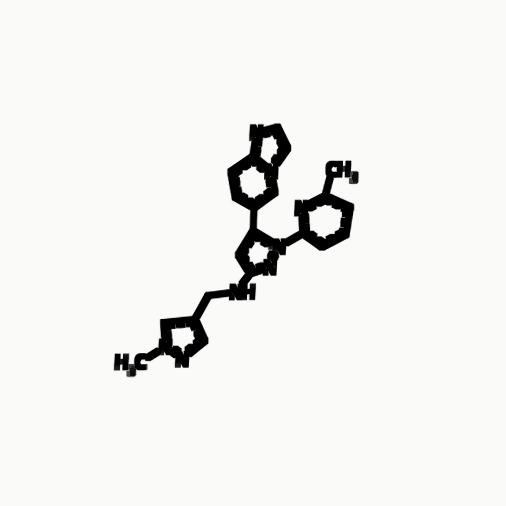 Cc1cccc(-n2nc(NCc3cnn(C)c3)cc2-c2ccc3nccn3c2)n1